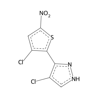 O=[N+]([O-])c1cc(Cl)c(-c2n[nH]cc2Cl)s1